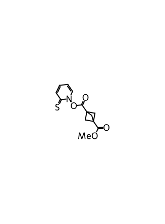 COC(=O)C12CC(C(=O)On3ccccc3=S)(C1)C2